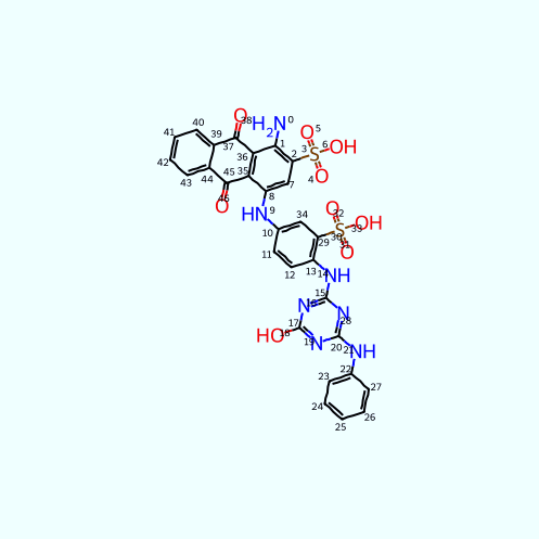 Nc1c(S(=O)(=O)O)cc(Nc2ccc(Nc3nc(O)nc(Nc4ccccc4)n3)c(S(=O)(=O)O)c2)c2c1C(=O)c1ccccc1C2=O